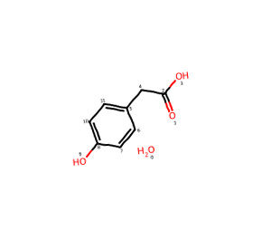 O.O=C(O)Cc1ccc(O)cc1